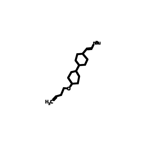 C=CCCOC1CCC(C2CCC(C=CCCCC)CC2)CC1